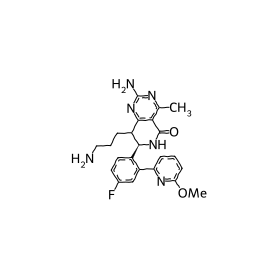 COc1cccc(-c2cc(F)ccc2[C@@H]2NC(=O)c3c(C)nc(N)nc3C2CCCN)n1